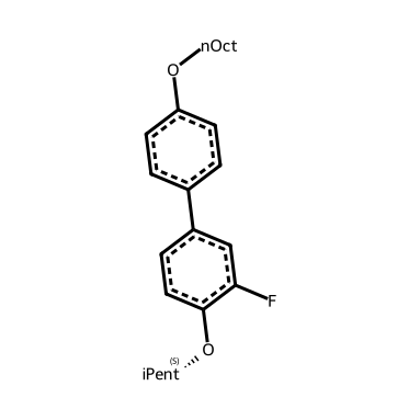 CCCCCCCCOc1ccc(-c2ccc(O[C@@H](C)CCC)c(F)c2)cc1